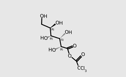 O=C(OC(=O)C(Cl)(Cl)Cl)[C@H](O)[C@@H](O)[C@H](O)[C@H](O)CO